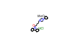 COc1ccccc1N1CCN(CCCCC(=O)n2c3ccccc3c3ccccc32)CC1.Cl